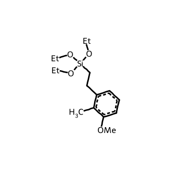 CCO[Si](CCc1cccc(OC)c1C)(OCC)OCC